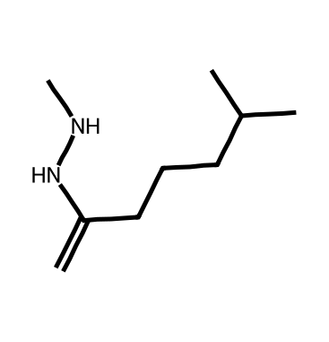 C=C(CCCC(C)C)NNC